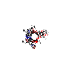 CC[C@H]1OC(=O)[C@H](C)[C@@H](O[C@H]2C[C@@](C)(OC)[C@@H](O)[C@H](C)O2)[C@H](C)[C@@H](O[C@@H]2O[C@H](C)C[C@H](N(C)CCc3cn([C@H](CF)[C@H](OC)c4ccc(N5CCOCC5)cc4)nn3)[C@H]2O)[C@](C)(O)C[C@@H](C)CN(C)[C@H](C)[C@@H](O)[C@]1(C)O